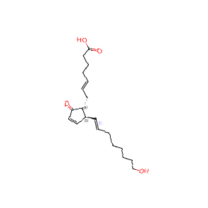 O=C(O)CCCC=CC[C@H]1C(=O)C=C[C@@H]1/C=C/CCCCCCO